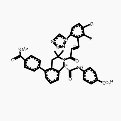 CNC(=O)c1ccc(-c2cccc3c2CC(C)(C)N(C(=O)/C=C/c2c(-n4cnnn4)ccc(Cl)c2F)[C@@H]3C(=O)Nc2ccc(C(=O)O)cc2)cc1